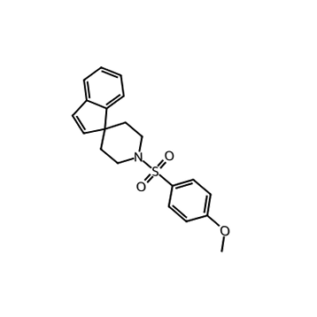 COc1ccc(S(=O)(=O)N2CCC3(C=Cc4ccccc43)CC2)cc1